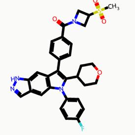 CS(=O)(=O)C1CN(C(=O)c2ccc(-c3c(C4CCOCC4)n(-c4ccc(F)cc4)c4cc5cn[nH]c5cc34)cc2)C1